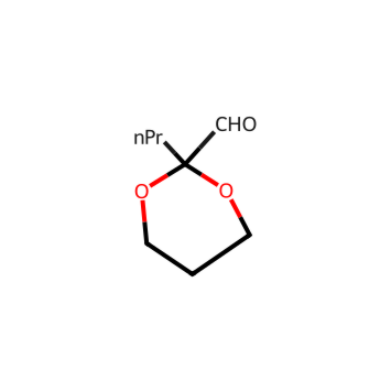 CCCC1(C=O)OCCCO1